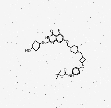 CC(C)(C)OC(=O)Nc1ccc(OC2CC(CN3CCC(COc4cc(F)c5c(=O)[nH]c(CSC6CCC(O)CC6)nc5c4)CC3)C2)cc1